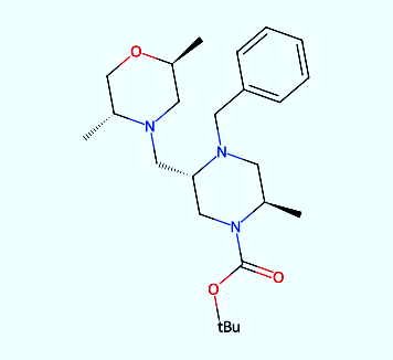 C[C@@H]1CO[C@@H](C)CN1C[C@H]1CN(C(=O)OC(C)(C)C)[C@H](C)CN1Cc1ccccc1